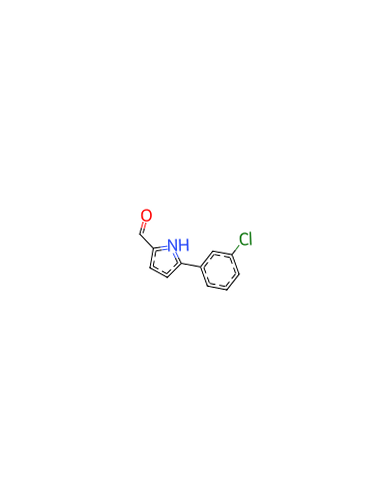 O=Cc1ccc(-c2cccc(Cl)c2)[nH]1